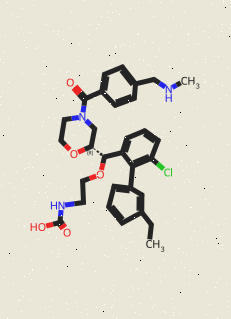 CCc1cccc(-c2c(Cl)cccc2C(OCCNC(=O)O)[C@H]2CN(C(=O)c3ccc(CNC)cc3)CCO2)c1